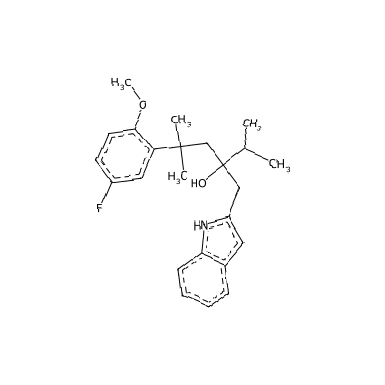 COc1ccc(F)cc1C(C)(C)CC(O)(Cc1cc2ccccc2[nH]1)C(C)C